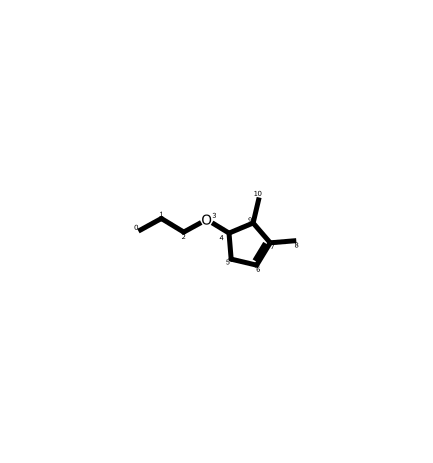 CCCOC1CC=C(C)C1C